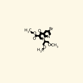 CCOC(=O)c1cn(C(COC)COC)c2ncc(Br)cc2c1=O